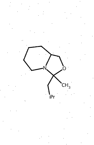 CC(C)CC1(C)OCC2CCCCN21